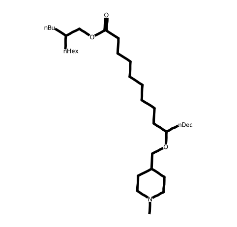 CCCCCCCCCCC(CCCCCCCCC(=O)OCC(CCCC)CCCCCC)OCC1CCN(C)CC1